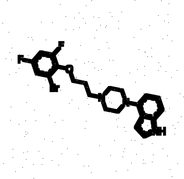 Fc1cc(F)c(OCCCN2CCN(c3cccc4[nH]ccc34)CC2)c(Br)c1